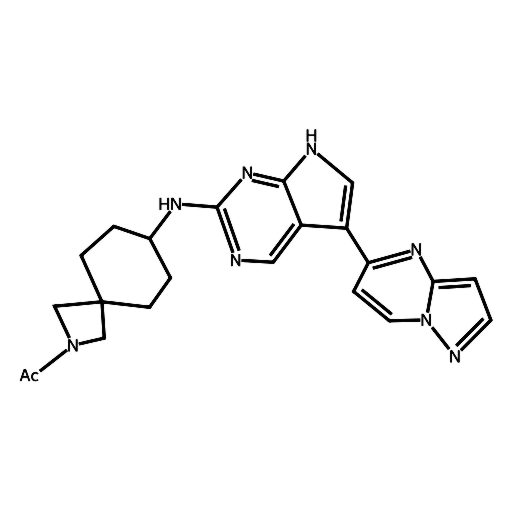 CC(=O)N1CC2(CCC(Nc3ncc4c(-c5ccn6nccc6n5)c[nH]c4n3)CC2)C1